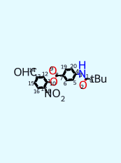 CC(C)(C)C(=O)Nc1ccc(C(=O)Oc2cc(C=O)ccc2[N+](=O)[O-])cc1